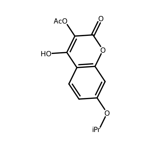 CC(=O)Oc1c(O)c2ccc(OC(C)C)cc2oc1=O